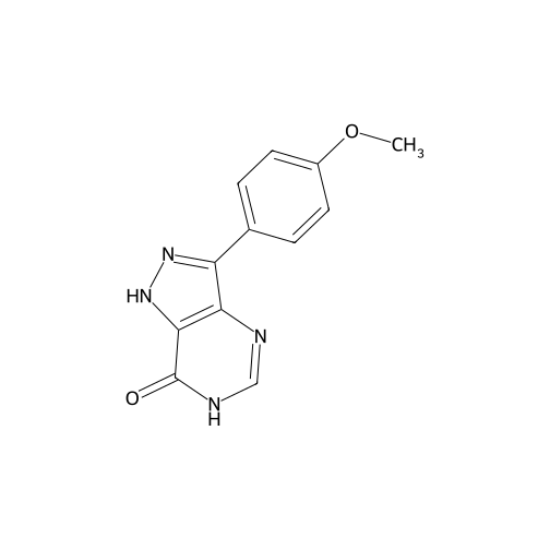 COc1ccc(-c2n[nH]c3c(=O)[nH]cnc23)cc1